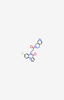 O=C(CCn1c(=O)c2cccn2c2ccc(F)cc21)N1CCc2ccncc2C1